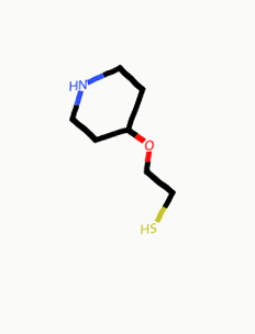 SCCOC1CCNCC1